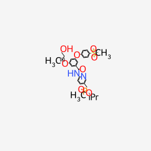 CC(C)OP(C)(=O)Cc1ccc(NC(=O)c2cc(Oc3ccc(S(C)(=O)=O)cc3)cc(O[C@@H](C)CCO)c2)nc1